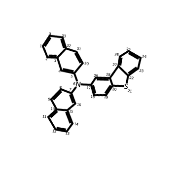 c1ccc2cc(N(c3ccc4ccccc4c3)c3ccc4sc5ccccc5c4c3)ccc2c1